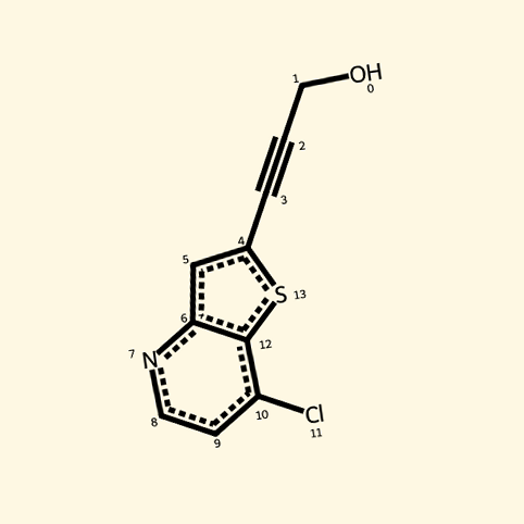 OCC#Cc1cc2nccc(Cl)c2s1